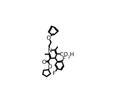 CC1=C(C(=O)O)C(c2cc(F)ccc2F)C(C(=O)OC2CCCC2)=C(C)N1CCOc1ccccc1